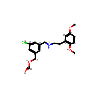 COc1ccc(OC)c(CCNCc2cc(Cl)cc(COC=O)c2)c1